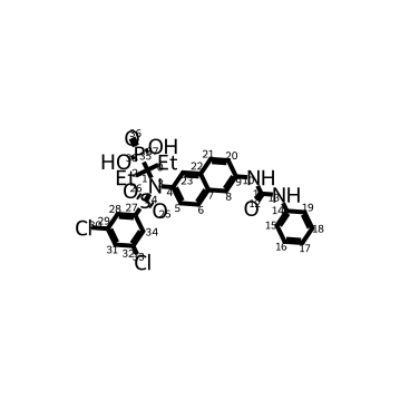 CCC(CC)(N(c1ccc2cc(NC(=O)Nc3ccccc3)ccc2c1)S(=O)(=O)c1cc(Cl)cc(Cl)c1)P(=O)(O)O